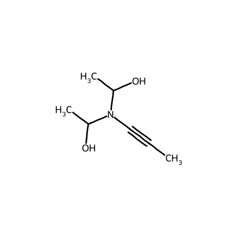 CC#CN(C(C)O)C(C)O